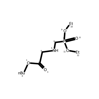 CCCCOC(=O)CNCP(=O)(OCC)OCC